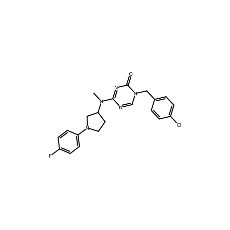 CN(c1ncn(Cc2ccc(Cl)cc2)c(=O)n1)C1CCN(c2ccc(F)cc2)C1